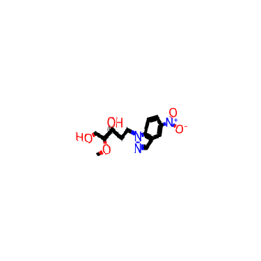 COC(CO)[C@H](O)CCn1ncc2cc([N+](=O)[O-])ccc21